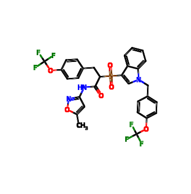 Cc1cc(NC(=O)C(Cc2ccc(OC(F)(F)F)cc2)S(=O)(=O)c2cn(Cc3ccc(OC(F)(F)F)cc3)c3ccccc23)no1